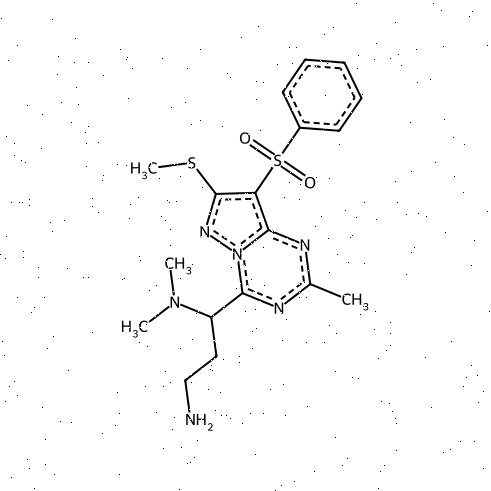 CSc1nn2c(C(CCN)N(C)C)nc(C)nc2c1S(=O)(=O)c1ccccc1